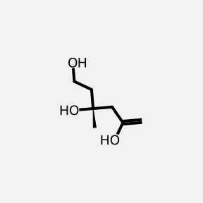 C=C(O)C[C@](C)(O)CCO